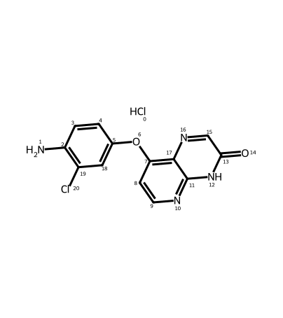 Cl.Nc1ccc(Oc2ccnc3[nH]c(=O)cnc23)cc1Cl